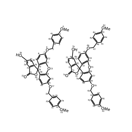 COc1ccc(COc2ccc3c(c2)Oc2cc(OCc4ccc(OC)cc4)ccc2C32OC(=O)c3cc(O)ccc32)cc1.COc1ccc(COc2ccc3c(c2)Oc2cc(OCc4ccc(OC)cc4)ccc2C32OC(=O)c3ccc(O)cc32)cc1